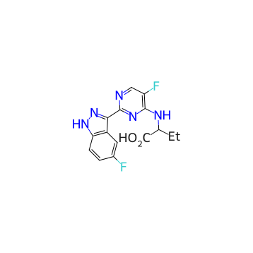 CCC(Nc1nc(-c2n[nH]c3ccc(F)cc23)ncc1F)C(=O)O